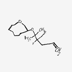 C=CCC(F)(F)C(C)(C)OC1CCCCO1